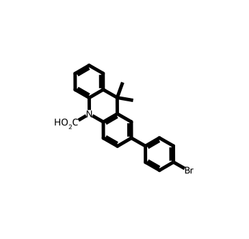 CC1(C)c2ccccc2N(C(=O)O)c2ccc(-c3ccc(Br)cc3)cc21